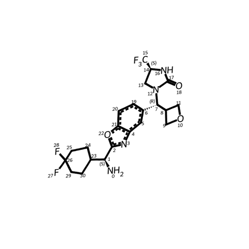 N[C@H](c1nc2cc([C@@H](C3COC3)N3C[C@@H](C(F)(F)F)NC3=O)ccc2o1)C1CCC(F)(F)CC1